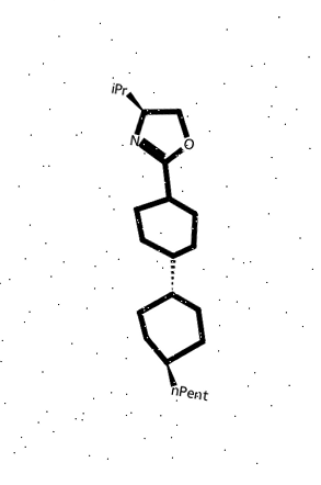 CCCCC[C@H]1CC[C@H](C2CCC(C3=N[C@@H](C(C)C)CO3)CC2)CC1